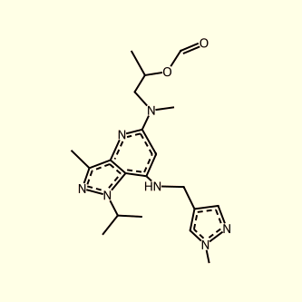 Cc1nn(C(C)C)c2c(NCc3cnn(C)c3)cc(N(C)CC(C)OC=O)nc12